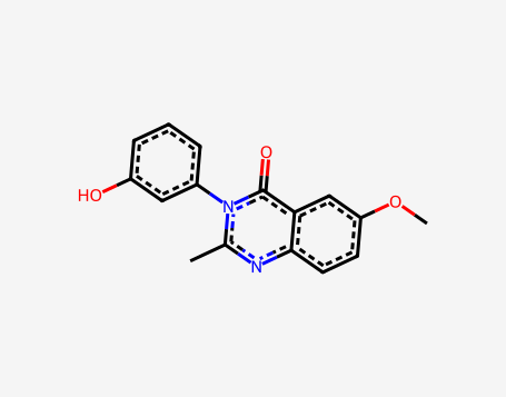 COc1ccc2nc(C)n(-c3cccc(O)c3)c(=O)c2c1